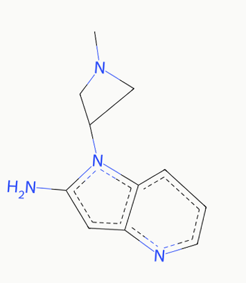 CN1CC(n2c(N)cc3ncccc32)C1